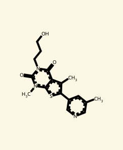 Cc1cncc(-c2sc3c(c2C)c(=O)n(CCCO)c(=O)n3C)c1